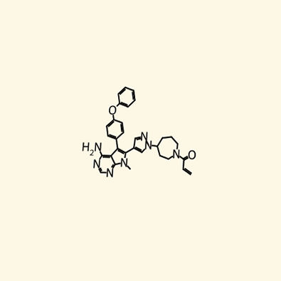 C=CC(=O)N1CCCC(n2cc(-c3c(-c4ccc(Oc5ccccc5)cc4)c4c(N)ncnc4n3C)cn2)CC1